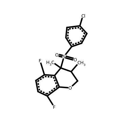 CC1COc2c(F)ccc(F)c2C1(C)S(=O)(=O)c1ccc(Cl)cc1